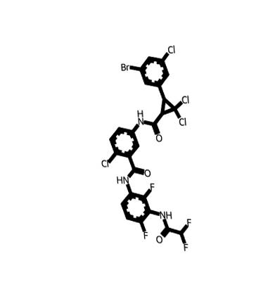 O=C(Nc1ccc(F)c(NC(=O)C(F)F)c1F)c1cc(NC(=O)C2C(c3cc(Cl)cc(Br)c3)C2(Cl)Cl)ccc1Cl